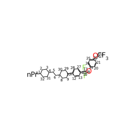 CCCC1CCC(CCC2CCC(c3ccc(C(F)(F)Oc4ccc(OC(F)(F)F)cc4)cc3)CC2)CC1